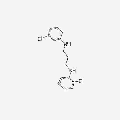 Clc1cccc(NCCCNc2ccccc2Cl)c1